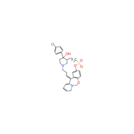 CC1CN(CCC=C2C3=CC=CCN3COc3ccc(OS(=O)(=O)C(F)(F)F)cc32)CCC1(O)c1ccc(Cl)cc1